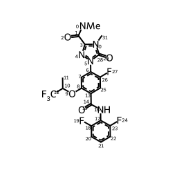 CNC(=O)c1nn(-c2cc(OC(C)C(F)(F)F)c(C(=O)Nc3c(F)cccc3F)cc2F)c(=O)n1C